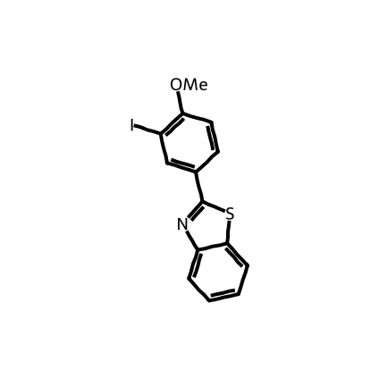 COc1ccc(-c2nc3ccccc3s2)cc1I